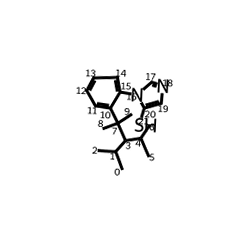 CC(C)C(C(C)C)C(C)(C)c1ccccc1-n1cncc1S